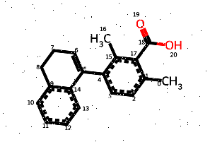 Cc1ccc(C2=CCCc3ccccc32)c(C)c1C(=O)O